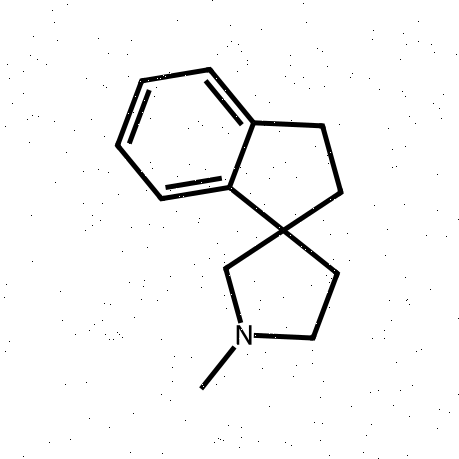 CN1CCC2(CCc3ccccc32)C1